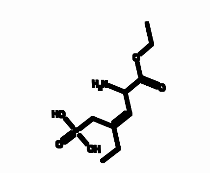 CCOC(=O)C(N)C=C(CC)CP(=O)(O)O